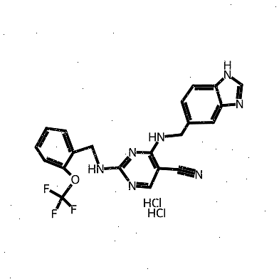 Cl.Cl.N#Cc1cnc(NCc2ccccc2OC(F)(F)F)nc1NCc1ccc2[nH]cnc2c1